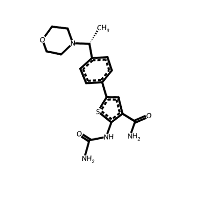 C[C@H](c1ccc(-c2cc(C(N)=O)c(NC(N)=O)s2)cc1)N1CCOCC1